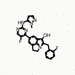 Cn1nccc1Nc1ncc(F)c(-c2cc3c4c(c2)c(O)c(Cc2ccccc2F)n4CC3)n1